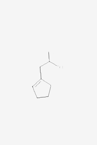 NC(CC1=CCCC1)C(=O)O